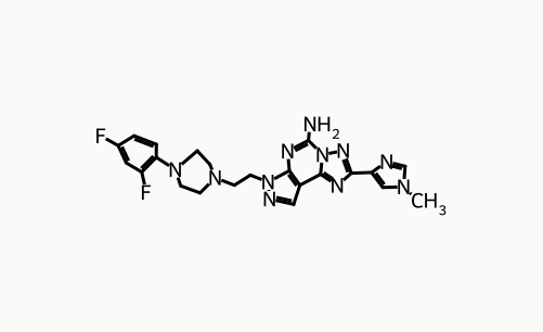 Cn1cnc(-c2nc3c4cnn(CCN5CCN(c6ccc(F)cc6F)CC5)c4nc(N)n3n2)c1